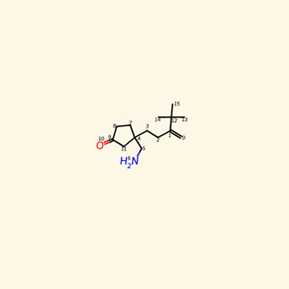 C=C(CCC1(CN)CCC(=O)C1)C(C)(C)C